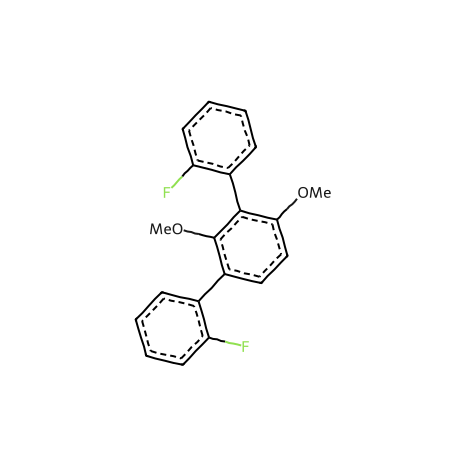 COc1ccc(-c2ccccc2F)c(OC)c1-c1ccccc1F